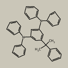 CC(C)(c1ccccc1)c1cc(N(c2ccccc2)c2ccccc2)cc(N(c2ccccc2)c2ccccc2)c1